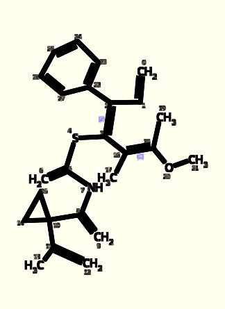 C=C/C(=C(SC(=C)NC(=C)C1(C(=C)C)CC1)\C(C)=C(/C)OC)c1ccccc1